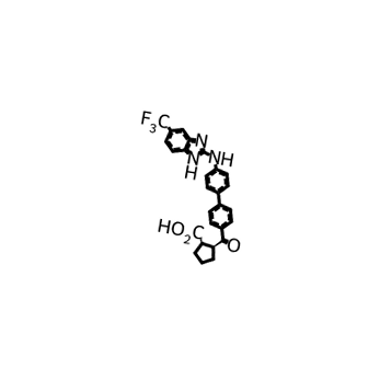 O=C(O)[C@H]1CCC[C@@H]1C(=O)c1ccc(-c2ccc(Nc3nc4cc(C(F)(F)F)ccc4[nH]3)cc2)cc1